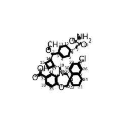 COC(C1=CC[C@@H](CS(N)(=O)=O)CC1)[C@@H]1CC[C@H]1CN1C[C@@]2(CCCc3cc(Cl)ccc32)COc2ccc(C(=O)O)cc21